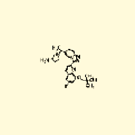 C[C@@H](c1ccc2nnc(-c3ccc4cc(F)cc(OCC(C)(C)O)c4n3)n2c1)N1CC[C@H](N)C1